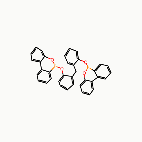 c1ccc(OP2Oc3ccccc3-c3ccccc32)c(Cc2ccccc2OP2Oc3ccccc3-c3ccccc32)c1